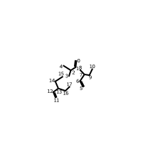 C=CC(C)C.C=CC(C)CC.C=CC(CC)CC